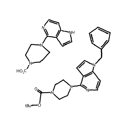 CC(C)(C)OC(=O)N1CCN(c2nccc3c2ccn3Cc2ccccc2)CC1.O=C(O)N1CCN(c2nccc3[nH]ccc23)CC1